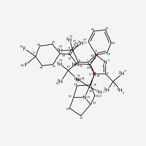 [2H]C([2H])([2H])c1nnc(C(C([2H])([2H])[2H])C([2H])([2H])[2H])n1C1CC2CCC(C1)N2C([2H])([2H])CC(NC(=O)C1CCC(F)(F)CC1)c1ccccc1